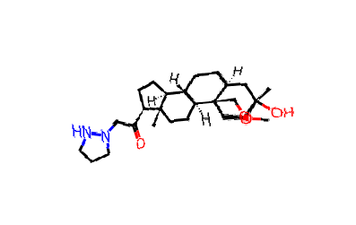 COC[C@]12CC[C@@](C)(O)C[C@@H]1CC[C@H]1[C@@H]3CC[C@H](C(=O)CN4CCCN4)[C@@]3(C)CC[C@@H]12